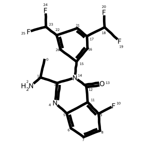 CC(N)c1nc2cccc(F)c2c(=O)n1-c1cc(C(F)F)cc(C(F)F)c1